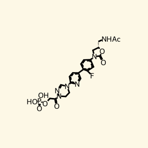 CC(=O)NC[C@H]1CN(c2ccc(-c3ccc(N4C=NN(C(=O)COP(=O)(O)O)CC4)nc3)c(F)c2)C(=O)O1